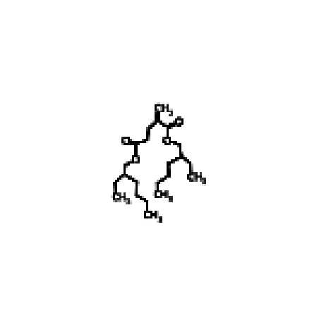 C=C(CCC(=O)OCC(CC)CCCC)C(=O)OCC(CC)CCCC